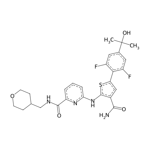 CC(C)(O)c1cc(F)c(-c2cc(C(N)=O)c(Nc3cccc(C(=O)NCC4CCOCC4)n3)s2)c(F)c1